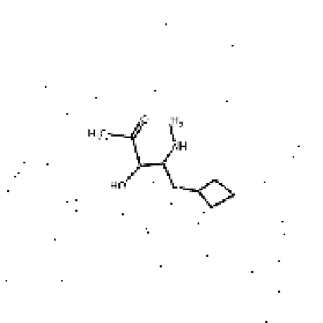 CC(=O)C(O)C(CC1CCC1)NP